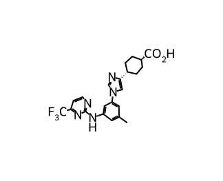 Cc1cc(Nc2nccc(C(F)(F)F)n2)cc(-n2cnc([C@H]3CC[C@H](C(=O)O)CC3)c2)c1